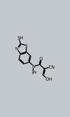 CC(C)N(C(=O)C(C#N)=CO)c1ccc2nc(S)sc2c1